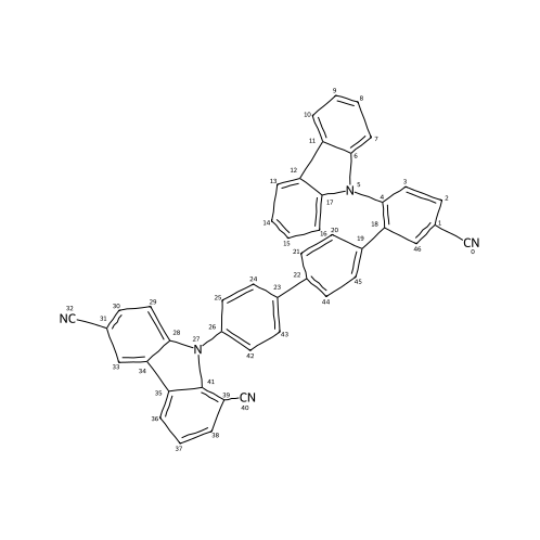 N#Cc1ccc(-n2c3ccccc3c3ccccc32)c(-c2ccc(-c3ccc(-n4c5ccc(C#N)cc5c5cccc(C#N)c54)cc3)cc2)c1